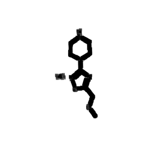 COCc1nc(N2CCNCC2)no1.Cl